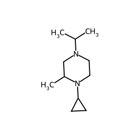 CC(C)N1CCN(C2CC2)C(C)C1